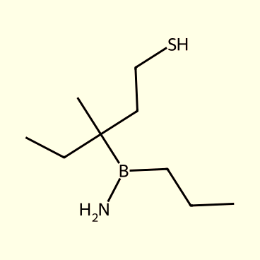 CCCB(N)C(C)(CC)CCS